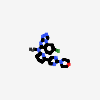 CN(c1cccc(-c2cnc(N3CCOCC3)nc2)n1)c1nc2nncn2c2cc(Cl)ccc12